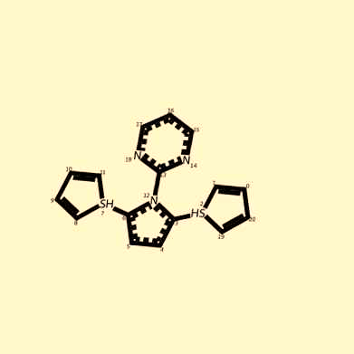 C1=C[SH](c2ccc([SH]3C=CC=C3)n2-c2ncccn2)C=C1